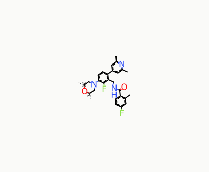 Cc1cc(-c2ccc(N3C[C@@H](C)O[C@@H](C)C3)c(F)c2CNC(=O)c2ccc(F)cc2C)cc(C)n1